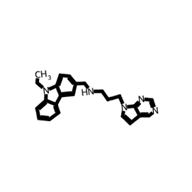 CCn1c2ccccc2c2cc(CNCCCn3ccc4cncnc43)ccc21